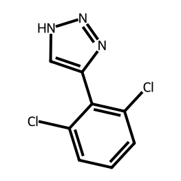 Clc1cccc(Cl)c1-c1c[nH]nn1